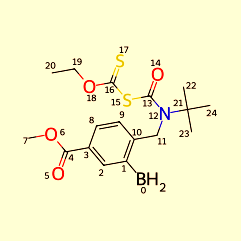 Bc1cc(C(=O)OC)ccc1CN(C(=O)SC(=S)OCC)C(C)(C)C